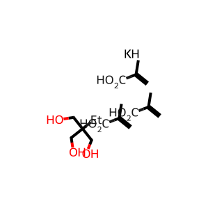 C=C(C)C(=O)O.C=C(C)C(=O)O.C=C(C)C(=O)O.CCC(CO)(CO)CO.[KH]